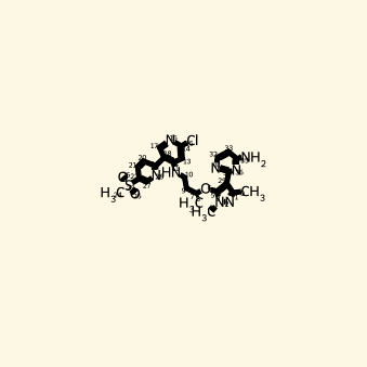 Cc1nn(C)c(O[C@@H](C)CCNc2cc(Cl)ncc2-c2ccc(S(C)(=O)=O)cn2)c1-c1nccc(N)n1